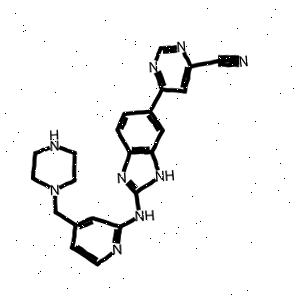 N#Cc1cc(-c2ccc3nc(Nc4cc(CN5CCNCC5)ccn4)[nH]c3c2)ncn1